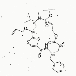 C=CCOC(=O)[C@@H](C)C[C@H](Cc1ccccc1)NC(=O)c1csc([C@@H](C[C@H](C(C)C)N(C)C(=O)OC(C)(C)C)OCC=C)n1